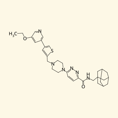 CCOc1cncc(-c2csc(CN3CCN(c4ccc(C(=O)NCC56CC7CC(CC(C7)C5)C6)nn4)CC3)c2)c1